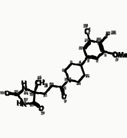 COc1cc(C2CCN(C(=O)CC[C@@]3(C)NC(=O)NC3=O)CC2)cc(Cl)c1F